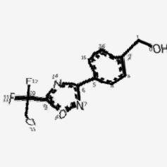 OCc1ccc(-c2noc(C(F)(F)Cl)n2)cc1